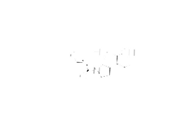 CCNC(=O)N1CC[C@H](C(CC)C(C)C)C1